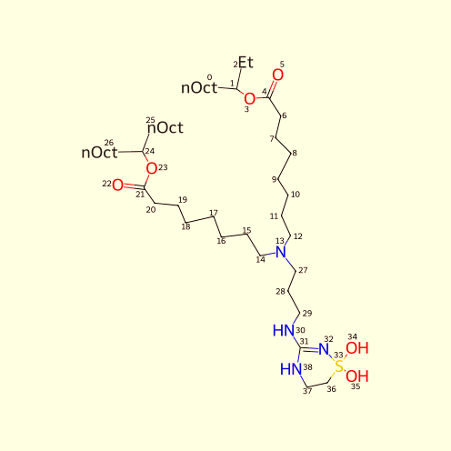 CCCCCCCCC(CC)OC(=O)CCCCCCCN(CCCCCCCC(=O)OC(CCCCCCCC)CCCCCCCC)CCCNC1=NS(O)(O)CCN1